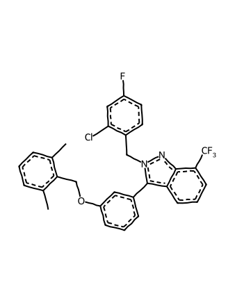 Cc1cccc(C)c1COc1cccc(-c2c3cccc(C(F)(F)F)c3nn2Cc2ccc(F)cc2Cl)c1